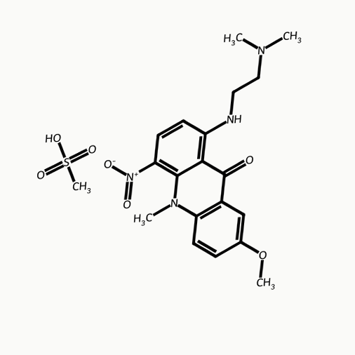 COc1ccc2c(c1)c(=O)c1c(NCCN(C)C)ccc([N+](=O)[O-])c1n2C.CS(=O)(=O)O